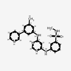 CNS(=O)(=O)c1cccc(Nc2cc(Nc3cc(C)cc(-c4cccnc4)c3)ncn2)c1